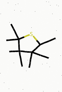 CC1SC(C)(C)C(C)(C)C1(C)C